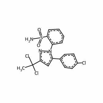 CC(Cl)(Cl)c1cc(-c2ccc(Cl)cc2)n(-c2ccccc2S(N)(=O)=O)n1